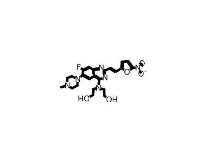 CN1CCN(c2cc3c(N(CCO)CCO)nc(C=Cc4ccc([N+](=O)[O-])o4)nc3cc2F)CC1